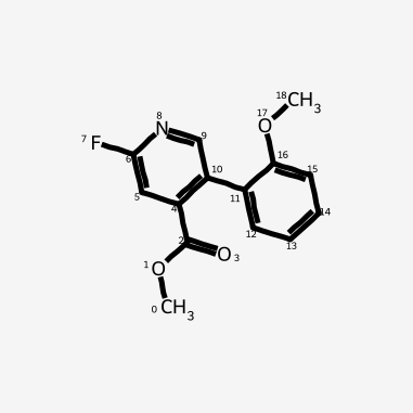 COC(=O)c1cc(F)ncc1-c1ccccc1OC